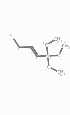 CO[Si](/C=C/CI)(OC)OC